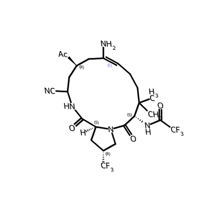 CC(=O)[C@H]1C/C(N)=C\CCC(C)(C)[C@H](NC(=O)C(F)(F)F)C(=O)N2C[C@H](C(F)(F)F)C[C@H]2C(=O)NC(C#N)C1